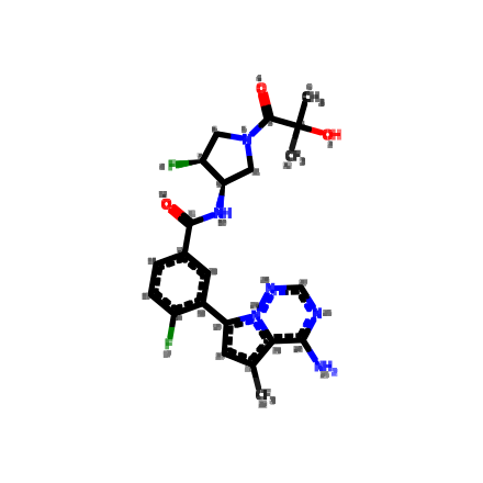 CC(O)(C(=O)N1C[C@H](F)[C@H](NC(=O)c2ccc(F)c(-c3cc(C(F)(F)F)c4c(N)ncnn34)c2)C1)C(F)(F)F